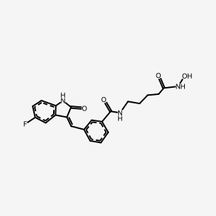 O=C(CCCCNC(=O)c1cccc(C=C2C(=O)Nc3ccc(F)cc32)c1)NO